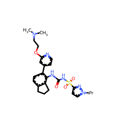 CC(C)n1ccc(S(=O)(=O)NC(=O)Nc2c(-c3ccnc(OCCN(C)C)c3)ccc3c2CCC3)n1